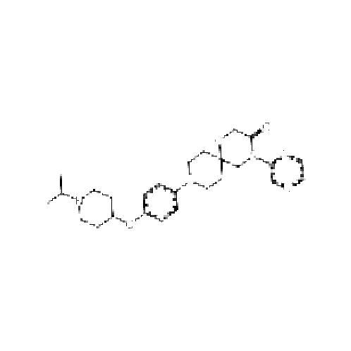 CC(C)N1CCC(Oc2ccc(N3CCC4(CC3)CN(c3cnccn3)C(=O)CO4)cc2)CC1